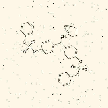 CC(c1ccc(OS(=O)(=O)Oc2ccccc2)cc1)c1ccc(OS(=O)(=O)Oc2ccccc2)cc1.c1cc2cc-2c1